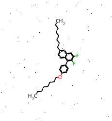 CCCCCCCCOc1ccc(-c2c(F)c(F)cc3cc(CCCCCCCC)ccc23)cc1